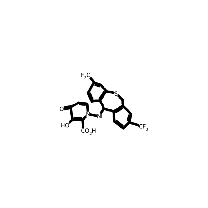 O=C(O)c1c(O)c(=O)ccn1NC1c2ccc(C(F)(F)F)cc2CSc2cc(C(F)(F)F)ccc21